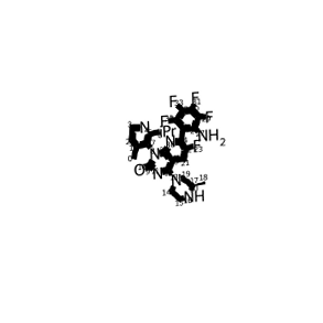 Cc1ccnc(C(C)C)c1-n1c(=O)nc(N2CCN[C@H](C)C2)c2cc(F)c(-c3c(N)c(F)c(F)c(F)c3F)nc21